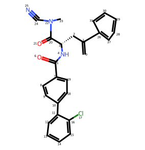 C=C(C[C@H](NC(=O)c1ccc(-c2ccccc2Cl)cc1)C(=O)N(C)C#N)c1ccccc1